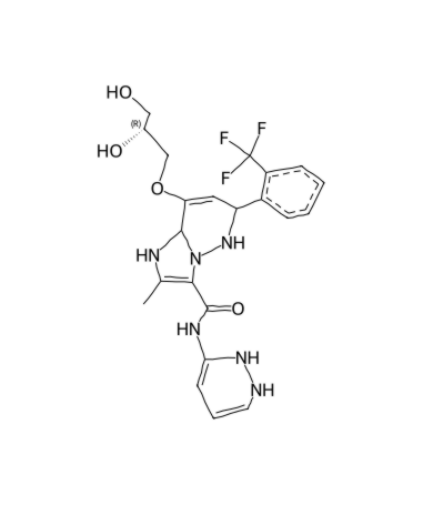 CC1=C(C(=O)NC2=CC=CNN2)N2NC(c3ccccc3C(F)(F)F)C=C(OC[C@H](O)CO)C2N1